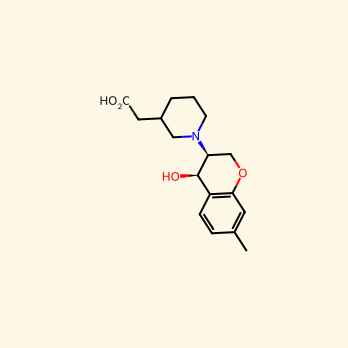 Cc1ccc2c(c1)OC[C@H](N1CCCC(CC(=O)O)C1)[C@@H]2O